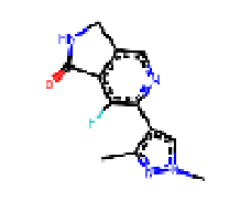 Cc1nn(C)cc1-c1ncc2c(c1F)C(=O)NC2